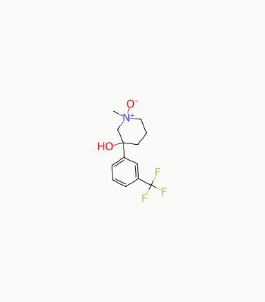 C[N+]1([O-])CCCC(O)(c2cccc(C(F)(F)F)c2)C1